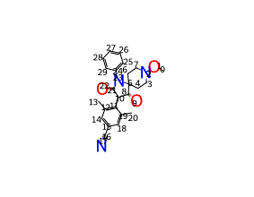 CON1CCC2(CC1)C(=O)C(c1c(C)cc(C#N)cc1C)C(=O)N2c1ccccc1